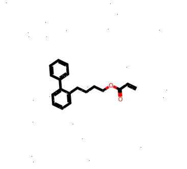 C=CC(=O)OCCCCc1ccccc1-c1ccccc1